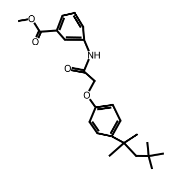 COC(=O)c1cccc(NC(=O)COc2ccc(C(C)(C)CC(C)(C)C)cc2)c1